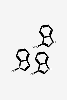 CC(=O)c1c[nH]c2ccccc12.CC(=O)n1ccc2ccccc21.O=Cc1c[nH]c2ccccc12